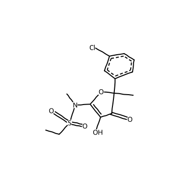 CCS(=O)(=O)N(C)C1=C(O)C(=O)C(C)(c2cccc(Cl)c2)O1